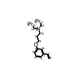 C=Cc1cccc(OCCCN(CC(C)C)CC(C)C)c1